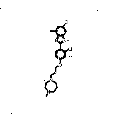 Cc1cc(Cl)cc2[nH]c(-c3ccc(OCCCN4CCCN(C)CC4)cc3Cl)nc12